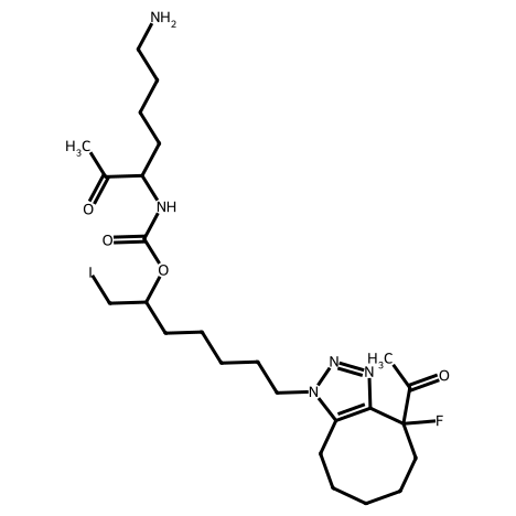 CC(=O)C(CCCCN)NC(=O)OC(CI)CCCCCn1nnc2c1CCCCCC2(F)C(C)=O